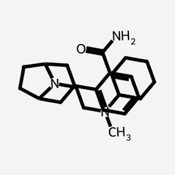 CN(CCN1C2CCC1CC(c1ccccc1C(N)=O)C2)C1CCCCC1